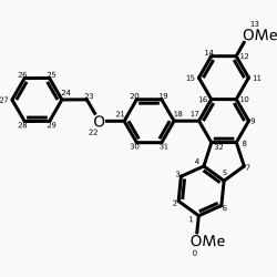 COc1ccc2c(c1)Cc1cc3cc(OC)ccc3c(-c3ccc(OCc4ccccc4)cc3)c1-2